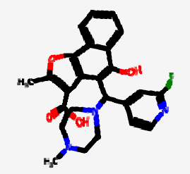 Cc1oc2c(c1C(=O)O)c(C(c1ccnc(F)c1)N1CCN(C)CC1)c(O)c1ccccc12